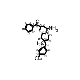 NC(CC(F)C(=O)c1ccccc1)N1CCC(O)(Cc2ccc(Cl)cc2)CC1